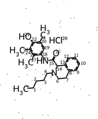 CCCCCN1CCc2ccccc2C1C(=O)Nc1cc(C)c(O)c(C)c1C.Cl